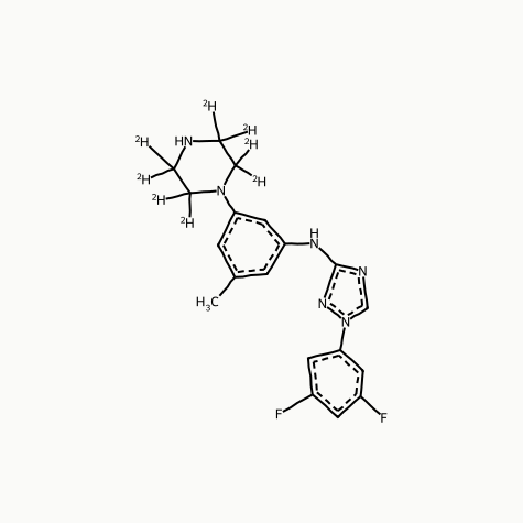 [2H]C1([2H])NC([2H])([2H])C([2H])([2H])N(c2cc(C)cc(Nc3ncn(-c4cc(F)cc(F)c4)n3)c2)C1([2H])[2H]